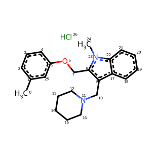 Cc1cccc(OCc2c(CN3CCCCC3)c3ccccc3n2C)c1.Cl